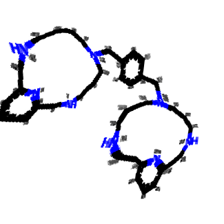 c1cc2nc(c1)CNCCCN(Cc1ccc(CN3CCCNCc4cccc(n4)CNCCC3)cc1)CCCCNC2